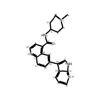 CN1CCC(NC(=O)c2ccnc3ccc(-c4c[nH]c5ncccc45)cc23)CC1